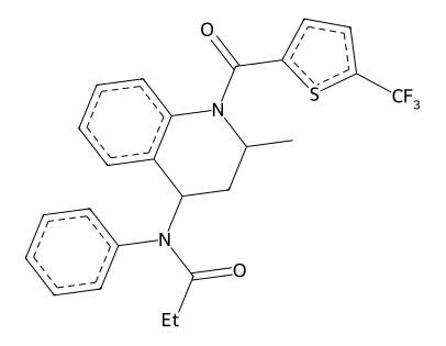 CCC(=O)N(c1ccccc1)C1CC(C)N(C(=O)c2ccc(C(F)(F)F)s2)c2ccccc21